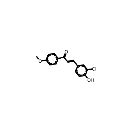 COc1ccc(C(=O)C=Cc2ccc(O)c(Cl)c2)cc1